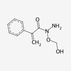 C=C(C(=O)N(N)OCO)c1ccccc1